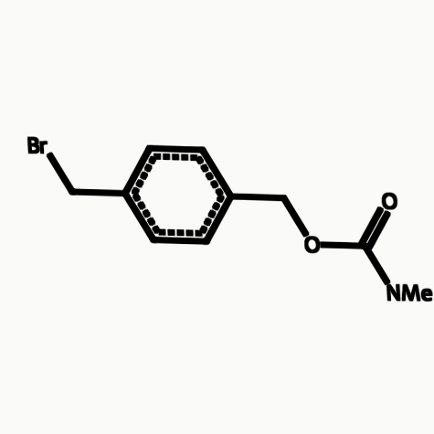 CNC(=O)OCc1ccc(CBr)cc1